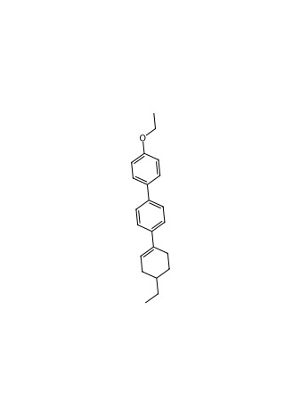 CCOc1ccc(-c2ccc(C3=CCC(CC)CC3)cc2)cc1